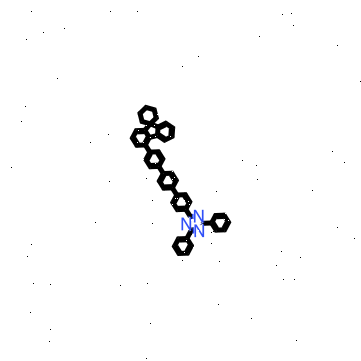 c1ccc(-c2nc(-c3ccccc3)nc(-c3ccc(-c4ccc(-c5ccc(-c6cccc7c6-c6ccccc6C76CCCCC6)cc5)cc4)cc3)n2)cc1